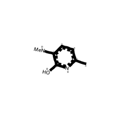 CNc1ccc(C)nc1O